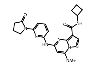 CNc1cc(Nc2cccc(N3CCCC3=O)n2)nc2c(C(=O)NC3CCC3)cnn12